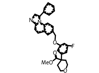 COC(=O)C1(c2cc(F)cc(OCc3ccc4c(ccc5ncc(-c6ccccc6)n54)c3)c2)CCOCC1